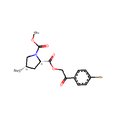 CS[C@H]1C[C@@H](C(=O)OCC(=O)c2ccc(Br)cc2)N(C(=O)OC(C)(C)C)C1